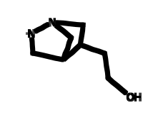 OCCC1CN2CC1C[N]2